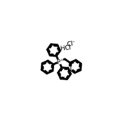 Cl.[Cl-].c1ccc([P+](Cc2ccccn2)(c2ccccc2)c2ccccc2)cc1